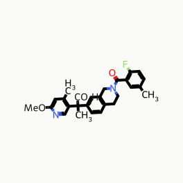 COc1cc(C)c(C(C)(C(=O)O)c2ccc3c(c2)CN(C(=O)c2cc(C)ccc2F)CC3)cn1